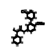 COc1ccc(CN[C@H](C)c2ccccc2)cc1-c1ccnc(Cl)c1